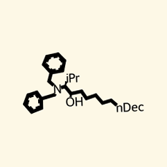 CCCCCCCCCCCCCCC[C@@H](O)[C@H](C(C)C)N(Cc1ccccc1)Cc1ccccc1